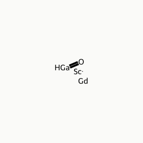 [Gd].[O]=[GaH].[Sc]